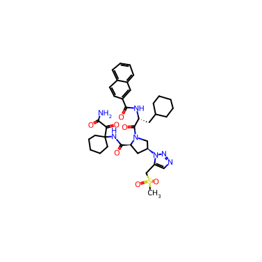 CS(=O)(=O)Cc1cnnn1[C@H]1C[C@@H](C(=O)NC2(C(=O)C(N)=O)CCCCC2)N(C(=O)[C@@H](CC2CCCCC2)NC(=O)c2ccc3ccccc3c2)C1